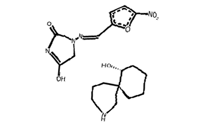 O=C1N=C(O)CN1/N=C/c1ccc([N+](=O)[O-])o1.O[C@@H]1CCCC[C@@]12CCCNC2